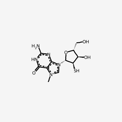 C[n+]1cn([C@@H]2O[C@H](CO)[C@@H](O)[C@H]2S)c2nc(N)[nH]c(=O)c21